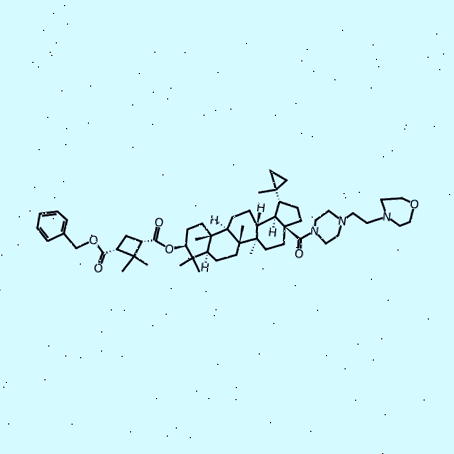 CC1([C@@H]2CC[C@]3(C(=O)N4CCN(CCN5CCOCC5)CC4)CC[C@]4(C)[C@H](CC[C@@H]5[C@@]6(C)CC[C@H](OC(=O)[C@H]7C[C@@H](C(=O)OCc8ccccc8)C7(C)C)C(C)(C)[C@@H]6CC[C@]54C)[C@@H]23)CC1